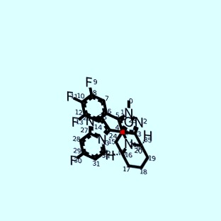 Cn1nc2c(c1-c1cc(F)c(F)c(F)c1)C[C@@H]1CCC[C@H]2N1C(=O)c1cnc2cc(F)ccn12